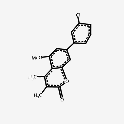 COc1cc(-c2cccc(Cl)c2)cc2oc(=O)c(C)c(C)c12